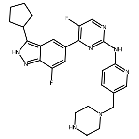 Fc1cnc(Nc2ccc(CN3CCNCC3)cn2)nc1-c1cc(F)c2n[nH]c(C3CCCC3)c2c1